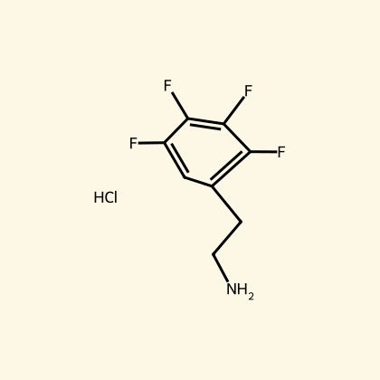 Cl.NCCc1cc(F)c(F)c(F)c1F